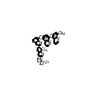 Oc1cccc2cccnc12.Oc1cccc2cccnc12.Oc1cccc2cccnc12.Oc1cccc2cccnc12.[Cl-].[Cl-].[Zr+2]